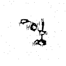 N#Cc1cnc(-c2ccnc3[nH]ccc23)nc1N1C[C@@H]2C[C@@H]1CN2c1cccc(F)c1